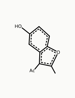 CC(=O)c1c(C)oc2ccc(O)cc12